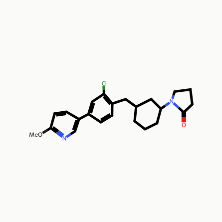 COc1ccc(-c2ccc(CC3CCCC(N4CCCC4=O)C3)c(Cl)c2)cn1